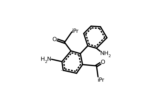 CC(C)C(=O)c1c[c]c(N)c(C(=O)C(C)C)c1-c1ccccc1N